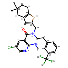 CNc1ncc(Cl)cc1C(=O)N(CCc1cccc(C(F)(F)F)c1)Cc1cc2c(s1)CCC(C)(C)C2